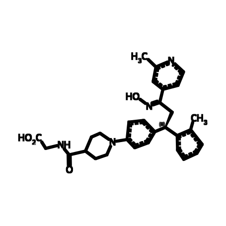 Cc1cc(C(C[C@H](c2ccc(N3CCC(C(=O)NCC(=O)O)CC3)cc2)c2ccccc2C)=NO)ccn1